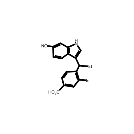 CCC(c1ccc(C(=O)O)cc1Br)c1c[nH]c2cc(C#N)ccc12